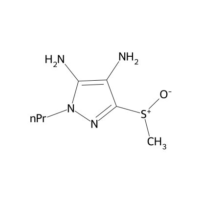 CCCn1nc([S+](C)[O-])c(N)c1N